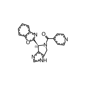 O=C(c1ccncc1)N1Cc2[nH]cnc2[C@H]1c1nc2ccccc2o1